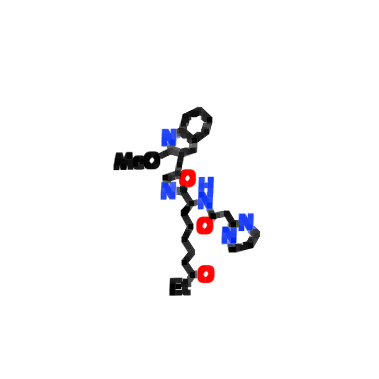 CCC(=O)CCCCC[C@H](NC(=O)Cc1ncccn1)c1ncc(-c2cc3ccccc3nc2OC)o1